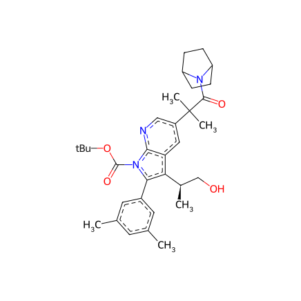 Cc1cc(C)cc(-c2c([C@H](C)CO)c3cc(C(C)(C)C(=O)N4C5CCC4CC5)cnc3n2C(=O)OC(C)(C)C)c1